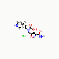 CNC(=O)c1cc(CN(CCC2(C)CCNCC2)C(=O)O)on1.Cl